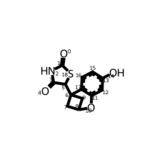 O=C1NC(=O)C(C23CC(C2)Oc2cc(O)ccc23)S1